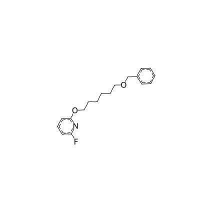 Fc1cccc(OCCCCCCOCc2ccccc2)n1